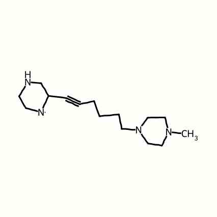 CN1CCN(CCCCC#CC2CNCC[N]2)CC1